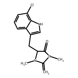 C=C1N(C)C(=O)C(Cc2c[nH]c3c(Cl)cccc23)N1C